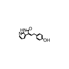 O=C1Nc2ncccc2C1=CCc1ccc(O)cc1